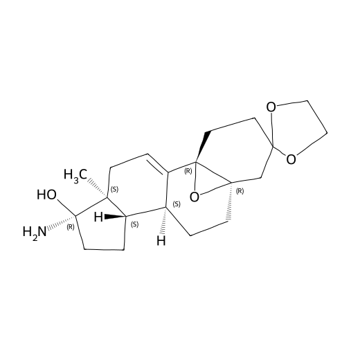 C[C@]12CC=C3[C@@H](CC[C@@]45CC6(CC[C@@]34O5)OCCO6)[C@@H]1CC[C@@]2(N)O